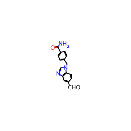 NC(=O)c1ccc(Cn2cnc3cc(C=O)ccc32)cc1